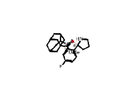 COC(=O)C12CC3CC(C1)C(NC[C@@]1(c4ccc(F)cc4)CCCN1)C(C3)C2